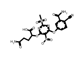 CS(=O)(=O)c1nc(Oc2ccc(C#N)c(C(N)=O)c2)c([N+](=O)[O-])c(OC(CCC(N)=O)C(=O)O)n1